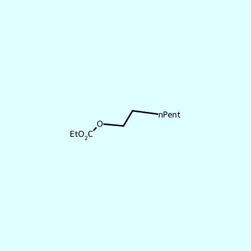 [CH2]COC(=O)OCCCCCCC